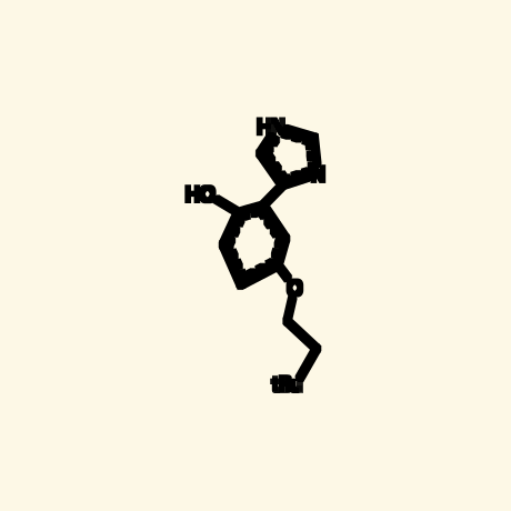 CC(C)(C)CCOc1ccc(O)c(-c2c[nH]cn2)c1